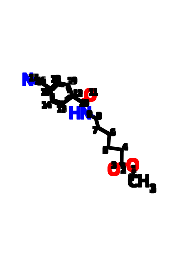 COC(=O)CCCCCNC(=O)c1ccc(C#N)cc1